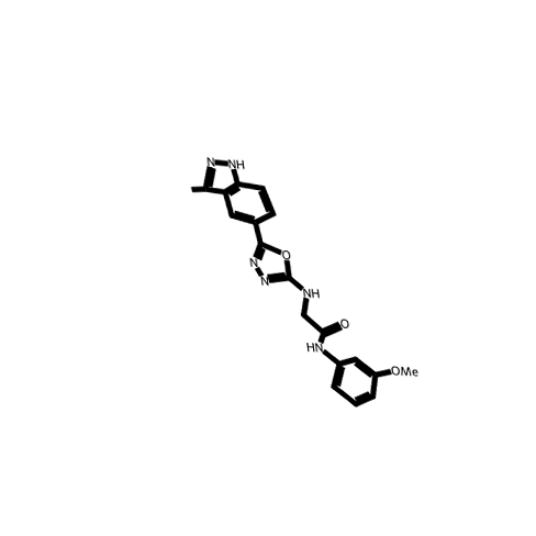 COc1cccc(NC(=O)CNc2nnc(-c3ccc4[nH]nc(C)c4c3)o2)c1